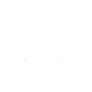 Cc1[nH]c(-c2ccc(Cl)cc2)nc1C(Cl)C(C)C.Cl